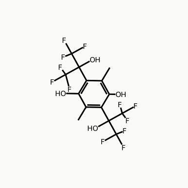 Cc1c(O)c(C(O)(C(F)(F)F)C(F)(F)F)c(C)c(O)c1C(O)(C(F)(F)F)C(F)(F)F